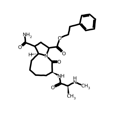 CN[C@@H](C)C(=O)N[C@H]1CCCC[C@H]2C(C(N)=O)CC(C(=O)OCCc3ccccc3)N2C1=O